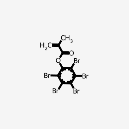 C=C(C)C(=O)Oc1c(Br)c(Br)c(Br)c(Br)c1Br